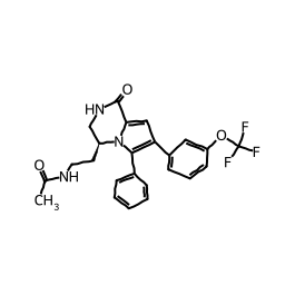 CC(=O)NCC[C@H]1CNC(=O)c2cc(-c3cccc(OC(F)(F)F)c3)c(-c3ccccc3)n21